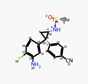 CC(C)(C)[S@+]([O-])N[C@H]1C[C@]1(c1ccc(C#N)cc1)c1ccc(F)c(N)c1